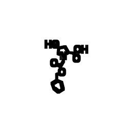 O=C(CN1C[C@@H](O)C[C@H]1C(=O)O)OCc1ccccc1